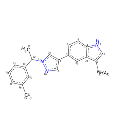 CC(=O)Nc1c[nH]c2ccc(-c3cnn(C(C)c4cccc(C(F)(F)F)c4)c3)cc12